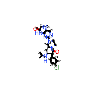 CC(C)NC[C@@H](C(=O)N1CCN(c2ncc3c(n2)NC(=O)CN3C)C[C@@H]1C)c1ccc(Cl)cc1